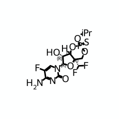 CC(C)OP1(=S)OC[C@@]2(C(F)F)O[C@@H](n3cc(F)c(N)nc3=O)[C@H](O)[C@@H]2O1